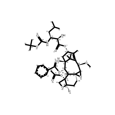 CO[C@@H]1C2=C(C)[C@@H](OC(=O)[C@H](O)[C@H](CC(C)C)NC(=O)OC(C)(C)C)C[C@@](O)([C@@H](OC(=O)c3ccccc3)[C@@H]3[C@]4(OC(C)=O)CO[C@@H]4CC[C@]34OC14)C2(C)C